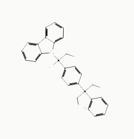 CCC(CC)(c1ccccc1)c1ccc(C(C)(CC)n2c3ccccc3c3ccccc32)cc1